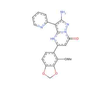 COc1c(-c2cc(=O)n3nc(N)c(-c4ccccn4)c3[nH]2)ccc2c1OCO2